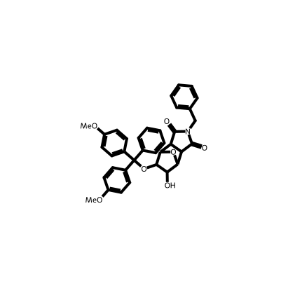 COc1ccc(C(OC2C(O)C3OC2C2C(=O)N(Cc4ccccc4)C(=O)C32)(c2ccccc2)c2ccc(OC)cc2)cc1